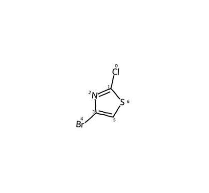 Clc1nc(Br)cs1